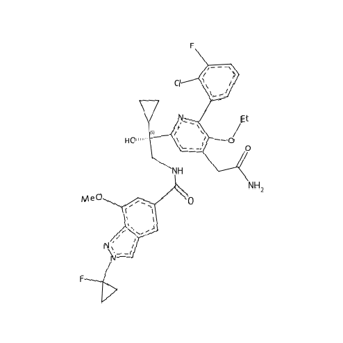 CCOc1c(CC(N)=O)cc([C@@](O)(CNC(=O)c2cc(OC)c3nn(C4(F)CC4)cc3c2)C2CC2)nc1-c1cccc(F)c1Cl